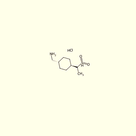 CC([C@H]1CC[C@H](CN)CC1)[SH](=O)=O.Cl